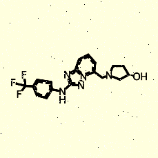 O[C@H]1CCN(Cc2cccc3nc(Nc4ccc(C(F)(F)F)cc4)nn23)C1